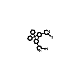 N#Cc1cc(-c2ccc3c(c2)-c2cc(-c4ccnc(C#N)c4)ccc2C3(c2ccccc2)c2ccccc2)ccn1